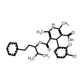 CC1=C(C(=O)O)C(c2cccc(Cl)c2Cl)C(C(=O)OC(CCc2ccccc2)C(C)C)=C(C)N1